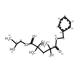 CCC(C)(CC(C)(C)C(=O)OCC(C)O)C(=O)OCc1ccccc1